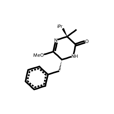 COC1=N[C@@](C)(C(C)C)C(=O)N[C@@H]1Cc1ccccc1